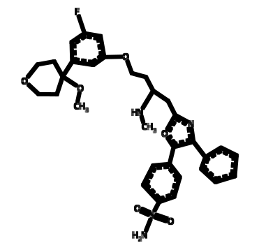 CNC(CCOc1cc(F)cc(C2(OC)CCOCC2)c1)Cc1nc(-c2ccccc2)c(-c2ccc(S(N)(=O)=O)cc2)o1